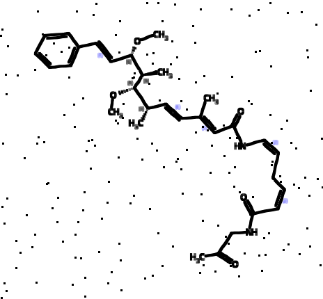 CO[C@H]([C@H](C)[C@H](/C=C/c1ccccc1)OC)[C@@H](C)/C=C/C(C)=C/C(=O)N/C=C\C/C=C\C(=O)NCC(C)=O